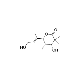 CC(=CCO)[C@H]1OC(=O)C(C)(C)[C@H](O)[C@@H]1C